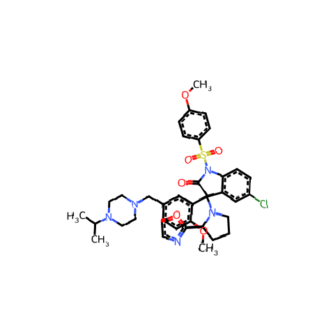 COc1ccc(S(=O)(=O)N2C(=O)C(c3cc(CN4CCN(C(C)C)CC4)ccc3OC)(N3CCCC3c3ncco3)c3cc(Cl)ccc32)cc1